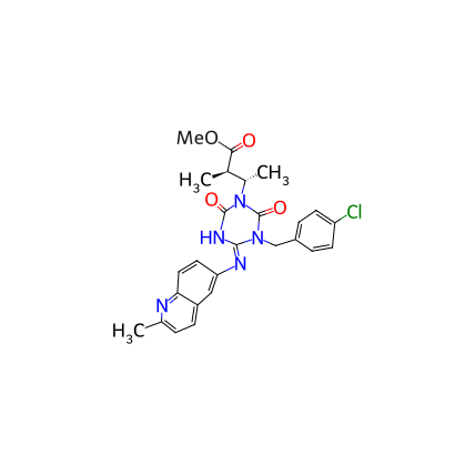 COC(=O)[C@H](C)[C@H](C)n1c(=O)[nH]/c(=N\c2ccc3nc(C)ccc3c2)n(Cc2ccc(Cl)cc2)c1=O